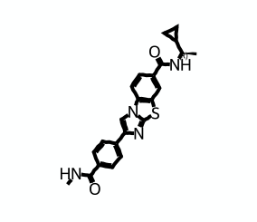 CNC(=O)c1ccc(-c2cn3c(n2)sc2cc(C(=O)N[C@H](C)C4CC4)ccc23)cc1